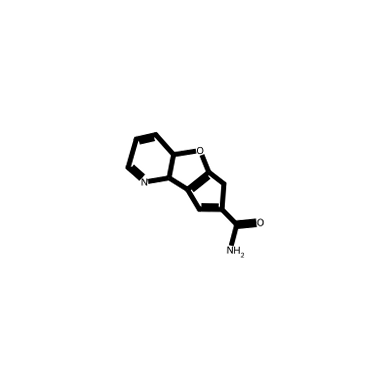 NC(=O)C1=CC2=C(C1)OC1C=CC=NC21